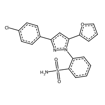 NS(=O)(=O)c1ccccc1-n1nc(-c2ccc(Cl)cc2)cc1-c1ccco1